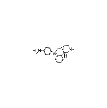 CN1CCN2C[C@@H](c3ccc(N)cc3)c3ccccc3[C@@H]2C1